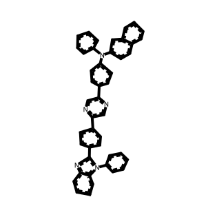 c1ccc(N(c2ccc(-c3cnc(-c4ccc(-c5nc6ccccc6n5-c5ccccc5)cc4)cn3)cc2)c2ccc3ccccc3c2)cc1